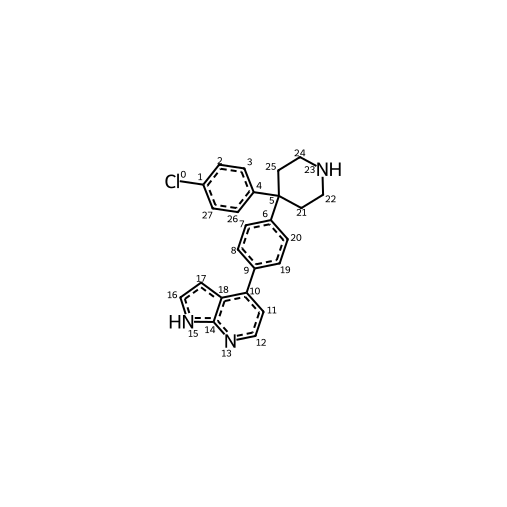 Clc1ccc(C2(c3ccc(-c4ccnc5[nH]ccc45)cc3)CCNCC2)cc1